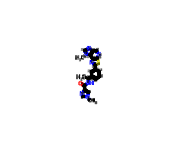 C[C@H](NC(=O)c1cn(C)cn1)c1cccc(-c2nc3c(ncc4ncn(C)c43)s2)c1